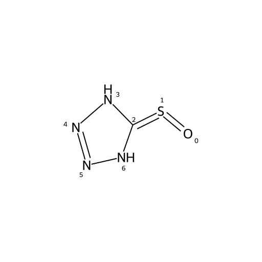 O=S=c1[nH]nn[nH]1